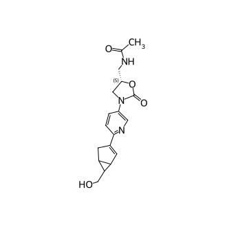 CC(=O)NC[C@H]1CN(c2ccc(C3=CC4C(CO)C4C3)nc2)C(=O)O1